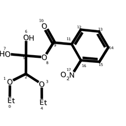 CCOC(OCC)C(O)(O)OC(=O)c1ccccc1[N+](=O)[O-]